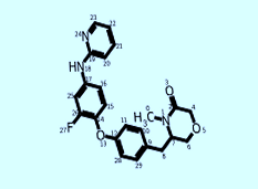 CN1C(=O)COCC1Cc1ccc(Oc2ccc(Nc3ccccn3)cc2F)cc1